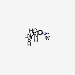 C=C(Nc1cc(C(/C=N\C)=C/C)ccc1O)C1=CBC(C)=N1